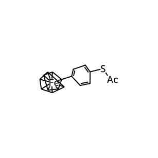 CC(=O)Sc1ccc([C]23[CH]4[CH]5[CH]6[CH]2[Fe]56432789[CH]3[CH]2[CH]7[CH]8[CH]39)cc1